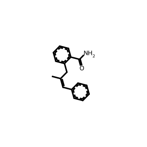 CC(=Cc1ccccc1)Cc1ccccc1C(N)=O